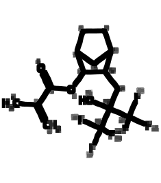 C=C(C)C(=O)OC1C2CCC(C2)C1CC(O)(C(F)(F)F)C(F)(F)F